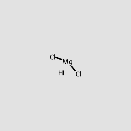 I.[Cl][Mg][Cl]